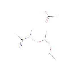 CC(=O)O.CCOC(C)ON(Br)C(=N)N